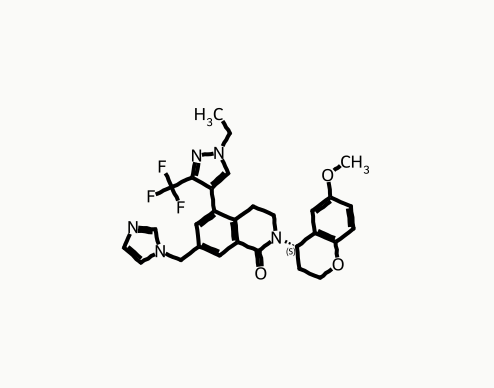 CCn1cc(-c2cc(Cn3ccnc3)cc3c2CCN([C@H]2CCOc4ccc(OC)cc42)C3=O)c(C(F)(F)F)n1